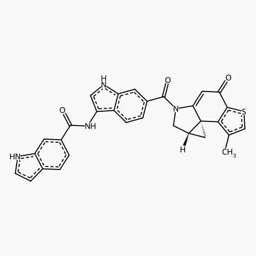 Cc1csc2c1[C@@]13C[C@@H]1CN(C(=O)c1ccc4c(NC(=O)c5ccc6cc[nH]c6c5)c[nH]c4c1)C3=CC2=O